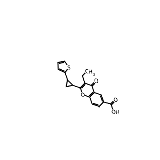 CCc1c(C2CC2c2cccs2)oc2ccc(C(=O)O)cc2c1=O